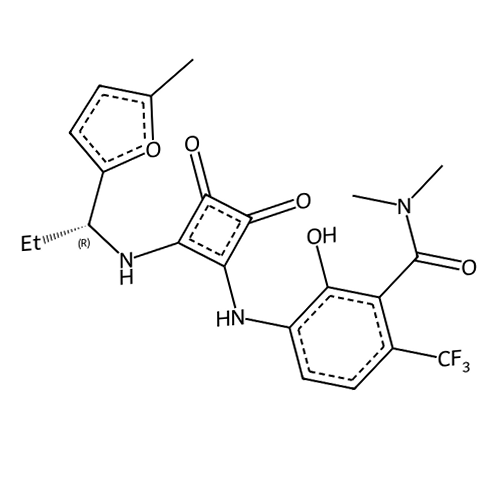 CC[C@@H](Nc1c(Nc2ccc(C(F)(F)F)c(C(=O)N(C)C)c2O)c(=O)c1=O)c1ccc(C)o1